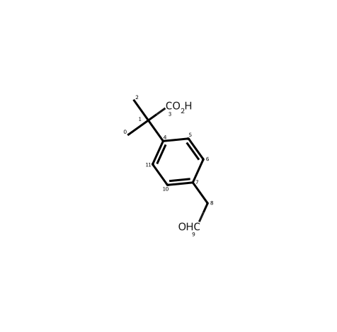 CC(C)(C(=O)O)c1ccc(CC=O)cc1